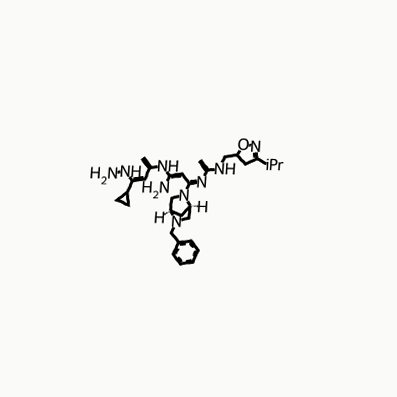 C=C(/C=C(\NN)C1CC1)N/C(N)=C/C(=N\C(=C)NCC1CC(C(C)C)=NO1)N1C[C@H]2C[C@@H]1CN2Cc1ccccc1